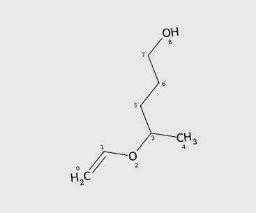 C=COC(C)CCCO